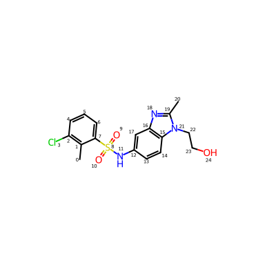 Cc1c(Cl)cccc1S(=O)(=O)Nc1ccc2c(c1)nc(C)n2CCO